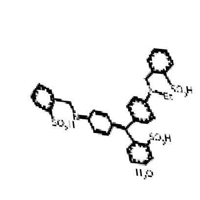 CCN(Cc1ccccc1S(=O)(=O)O)c1ccc(C(=C2C=CC(=NCc3ccccc3S(=O)(=O)O)C=C2)c2ccccc2S(=O)(=O)O)cc1.O